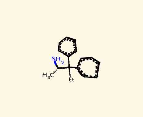 CCC(c1ccccc1)(c1ccccc1)[C@H](C)N